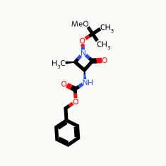 COC(C)(C)ON1C(=O)[C@@H](NC(=O)OCc2ccccc2)[C@H]1C